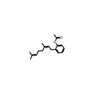 CC(=O)Oc1ccccc1C/C=C(/C)CCC=C(C)C